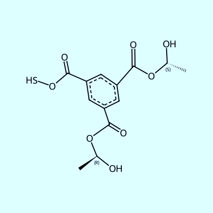 C[C@H](O)OC(=O)c1cc(C(=O)OS)cc(C(=O)O[C@@H](C)O)c1